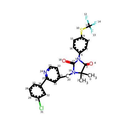 CC1(C)C(=O)N(c2ccc(SC(F)(F)F)cc2)C(=O)N1Cc1ccnc(-c2cccc(Cl)c2)c1